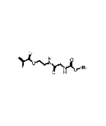 C=C(C)C(=O)OCCNC(=O)CNC(=O)OC(C)(C)C